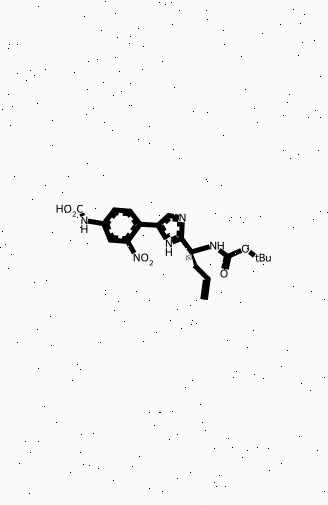 C=CC[C@H](NC(=O)OC(C)(C)C)c1ncc(-c2ccc(NC(=O)O)cc2[N+](=O)[O-])[nH]1